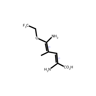 CC(/C=C(\N)C(=O)O)=C(/N)OCC(F)(F)F